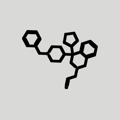 O=CCN1Cc2ccccc2C(C2CCCC2)(C2CCN(Cc3ccccc3)CC2)C1